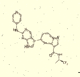 C[C@@H](NC(=O)c1cnn2ccc(-c3c[nH]c4nc(Nc5ccncc5)ncc34)cc12)C(F)(F)F